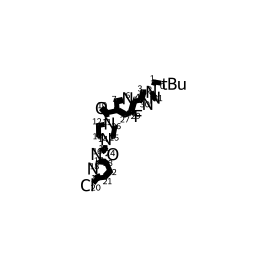 CC(C)(C)Cn1cc(-c2ncc(C(=O)N3CCN(c4nc5nc(Cl)ccc5o4)CC3)cc2F)nn1